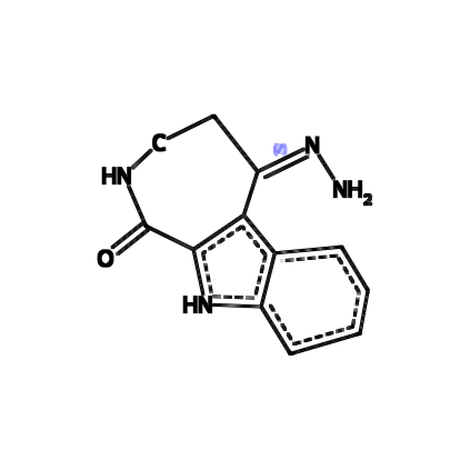 N/N=C1/CCNC(=O)c2[nH]c3ccccc3c21